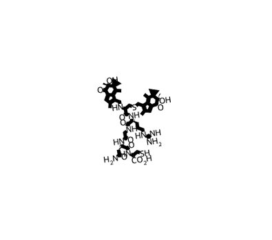 CC1=C(CNC(CSCC2=C(C)C=C3C(=O)[C@](C)(O)C4(CC4)C(C)=C32)C(=O)N[C@@H](CCCNC(=N)N)C(=O)NCC(=O)N[C@@H](CC(N)=O)C(=O)NC(CS)C(=O)O)C2=C(C)C3(CC3)[C@@](C)(O)C(=O)C2=C1